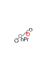 CCCC1C(CCC(=O)CC2=CC=CC2)CCC1c1ccccc1